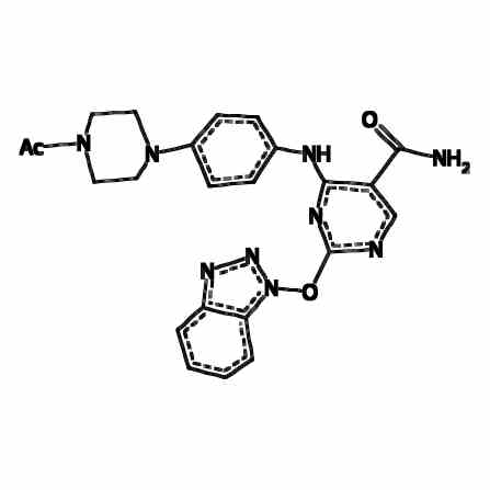 CC(=O)N1CCN(c2ccc(Nc3nc(On4nnc5ccccc54)ncc3C(N)=O)cc2)CC1